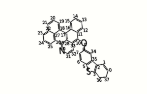 C1=Cc2c(sc3ccc(Oc4c5ccccc5c(-c5cccc6ccccc56)c5cnccc45)cc23)CC1